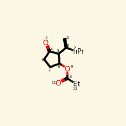 C=C(CCC)C1C(=O)CCC1OC(=O)CC